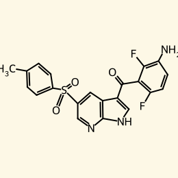 Cc1ccc(S(=O)(=O)c2cnc3[nH]cc(C(=O)c4c(F)ccc(N)c4F)c3c2)cc1